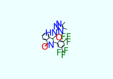 Cc1nnc(NC(=O)C2c3ccccc3C(=O)N(C)C2c2cc(C(F)(F)F)cc(C(F)(F)F)c2)nc1C